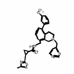 Cc1noc(C2CC2C(=O)NCc2ccc(-c3cccc(OC(F)(F)F)c3)c3c2CN(Cc2ccncn2)CC3)n1